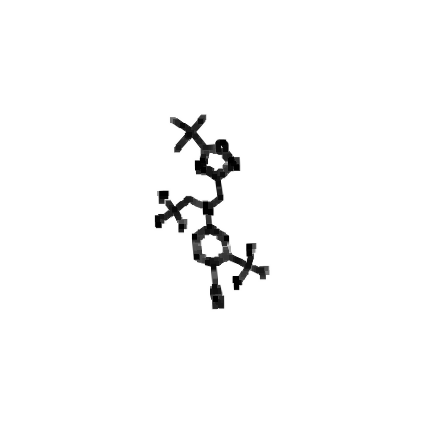 CC(C)(C)c1nc(CN(CC(F)(F)F)c2ccc(C#N)c(C(F)(F)F)c2)no1